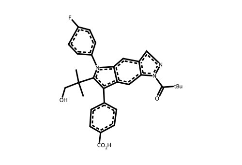 CC(C)(C)C(=O)n1ncc2cc3c(cc21)c(-c1ccc(C(=O)O)cc1)c(C(C)(C)CO)n3-c1ccc(F)cc1